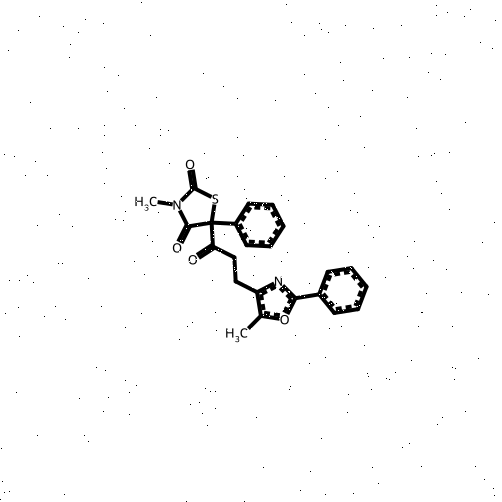 Cc1oc(-c2ccccc2)nc1CCC(=O)C1(c2ccccc2)SC(=O)N(C)C1=O